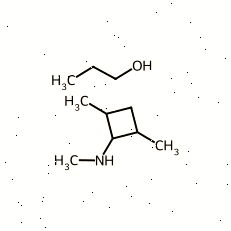 CCCO.CNC1C(C)CC1C